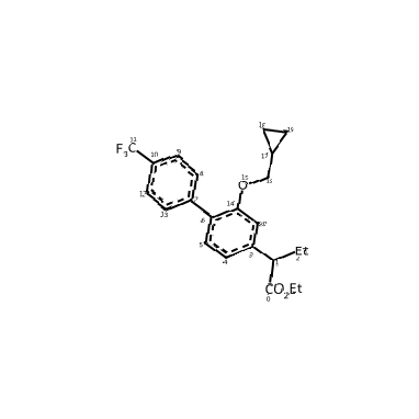 CCOC(=O)C(CC)c1ccc(-c2ccc(C(F)(F)F)cc2)c(OCC2CC2)c1